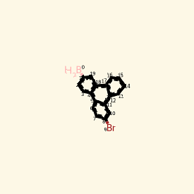 Bc1ccc2c3ccc(Br)cc3c3ccccc3c2c1